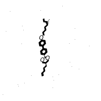 C=CCCC[C@H]1CO[C@H](c2ccc(-c3ccc(OCCCCC[C@@H](C)CC)cc3)cc2)OC1